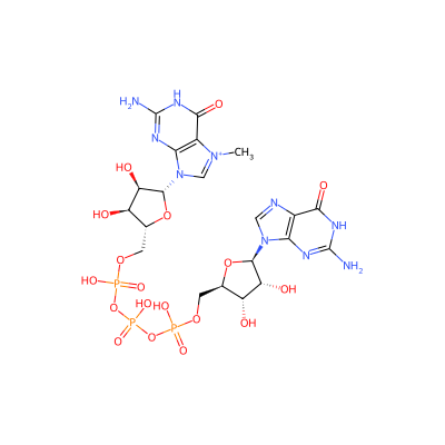 C[n+]1cn([C@@H]2O[C@H](COP(=O)(O)OP(=O)(O)OP(=O)(O)OC[C@H]3O[C@@H](n4cnc5c(=O)[nH]c(N)nc54)[C@H](O)[C@@H]3O)[C@@H](O)[C@H]2O)c2nc(N)[nH]c(=O)c21